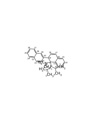 CC(C)P(C(C)C)C1(N(C)C)c2ccccc2C=CC1c1ccc2ccccc2c1